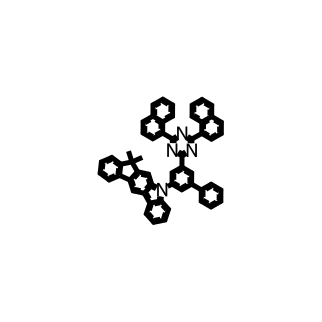 CC1(C)c2ccccc2-c2cc3c4ccccc4n(-c4cc(-c5ccccc5)cc(-c5nc(-c6cccc7ccccc67)nc(-c6cccc7ccccc67)n5)c4)c3cc21